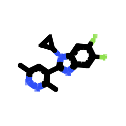 Cc1cc(-c2nc3cc(F)c(F)cc3n2C2CC2)c(C)nn1